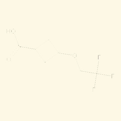 O=C(O)C1CC(OCC(F)(F)F)C1